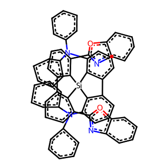 c1ccc(N(c2ccccc2)c2cccc3c2[Si]2(c4c(-c5nc6ccccc6o5)cccc4-c4cccc(-c5nc6ccccc6o5)c42)c2c-3cccc2N(c2ccccc2)c2ccccc2)cc1